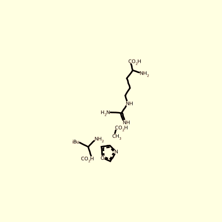 CC(=O)O.CCC(C)C(N)C(=O)O.N=C(N)NCCCC(N)C(=O)O.c1cocn1